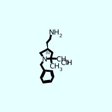 CC1(C)C[C@H](CCN)CN1Cc1ccccc1.Cl